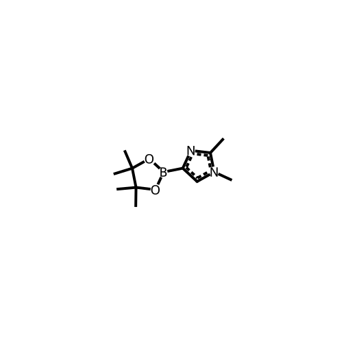 Cc1nc(B2OC(C)(C)C(C)(C)O2)cn1C